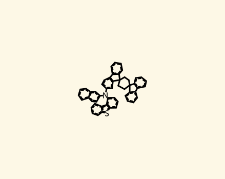 c1ccc2c(c1)-c1ccccc1C21CCC2(CC1)c1ccccc1-c1ccc(N(c3ccc4ccccc4c3)c3cccc4sc5ccccc5c34)cc12